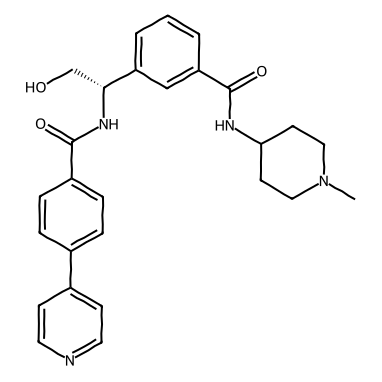 CN1CCC(NC(=O)c2cccc([C@@H](CO)NC(=O)c3ccc(-c4ccncc4)cc3)c2)CC1